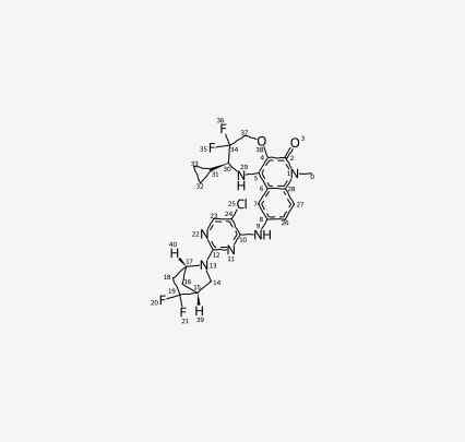 Cn1c(=O)c2c(c3cc(Nc4nc(N5C[C@H]6C[C@@H]5CC6(F)F)ncc4Cl)ccc31)N[C@@H](C1CC1)C(F)(F)CO2